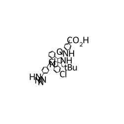 CC(C)(C)C[C@@H]1N[C@@H](C(=O)Nc2ccc(C(=O)O)cc2)[C@H](c2ccccc2Cl)[C@]12CN(Cc1ccc(-c3nnn[nH]3)cc1)c1ccc(Cl)cc12